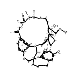 CCOC[C@]1(O)CCC[C@H](C)[C@@H](C)S(=O)(=O)NC(=O)c2ccc3c(c2)N(C[C@@H]2CC[C@H]21)C[C@@]1(CCCc2cc(Cl)ccc21)CO3